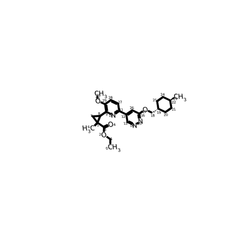 CCOC(=O)C1(C)CC1c1nc(-c2cnnc(OC[C@H]3CC[C@H](C)CC3)c2)ccc1OC